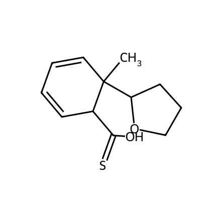 CC1(C2CCCO2)C=CC=CC1C(O)=S